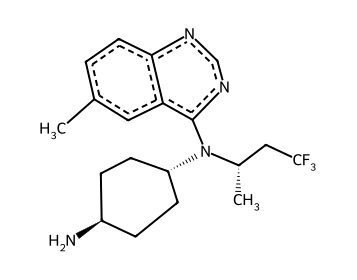 Cc1ccc2ncnc(N([C@H]3CC[C@H](N)CC3)[C@@H](C)CC(F)(F)F)c2c1